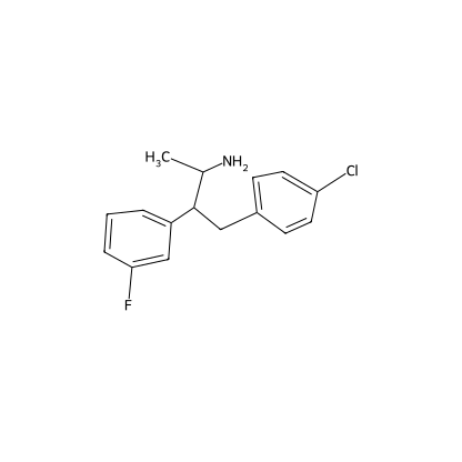 CC(N)C(Cc1ccc(Cl)cc1)c1cccc(F)c1